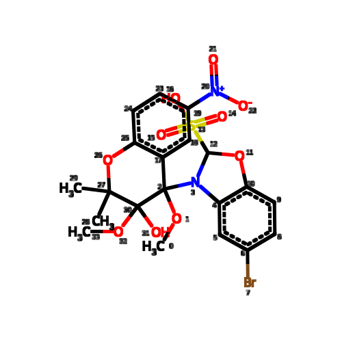 COC1(N2c3cc(Br)ccc3OC2S(=O)(=O)O)c2cc([N+](=O)[O-])ccc2OC(C)(C)C1(O)OC